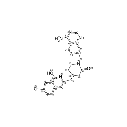 Nc1ncnc2cc(CN3CCN(Cc4cc5ccc(Cl)cc5c(O)n4)CC3=O)ccc12